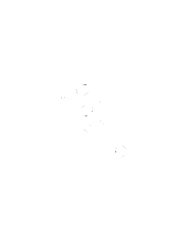 COc1ccccc1-c1cccc(CN2CC(OCc3ccccc3)C[C@H]2CN)c1O